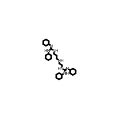 C1CCC(N=C(NCCCNCCNC(=NC2CCCCC2)NC2CCCCC2)NC2CCCCC2)CC1